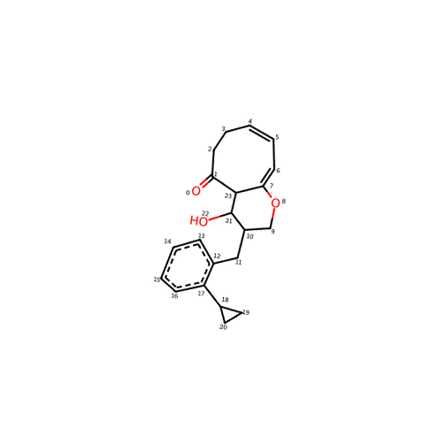 O=C1CCC=CC=C2OCC(Cc3ccccc3C3CC3)C(O)C12